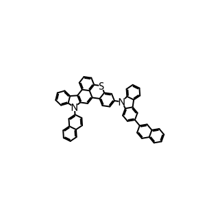 c1ccc2cc(-c3ccc4c(c3)c3ccccc3n4-c3ccc4c(c3)Sc3cccc5c3c-4cc3c5c4ccccc4n3-c3ccc4ccccc4c3)ccc2c1